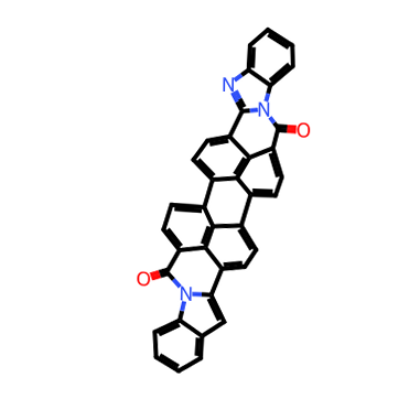 O=c1c2ccc3c4ccc5c6c(ccc(c7ccc(c2c73)c2cc3ccccc3n12)c46)c(=O)n1c2ccccc2nc51